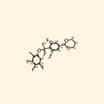 Cc1c(OC(F)(F)c2c(F)cc(C3OCCCO3)cc2F)cc(F)c(F)c1F